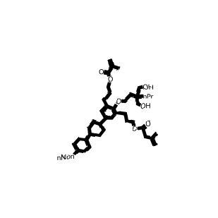 C=C(C)CC(=O)OCCCc1cc(C2CCC(C3CCC(CCCCCCCCC)CC3)CC2)cc(CCCOC(=O)C(=C)C)c1OCCC(CO)(CO)CCC